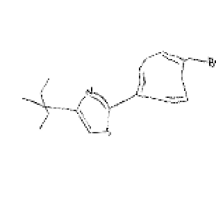 CC(C)(C)c1csc(-c2ccc(Br)cc2)n1